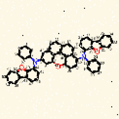 c1ccc(N(c2cc3c4c(ccc5ccc6c(N(c7ccccc7)c7cccc8c7oc7ccccc78)ccc(c6c54)O3)c2)c2cccc3c2oc2ccccc23)cc1